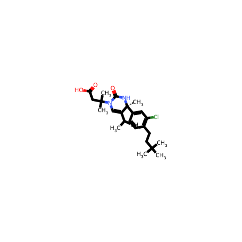 CC(C)C1=CN(C(C)(C)CC(=O)O)C(=O)N[C@@]1(C)c1ccc(CCC(C)(C)C)c(Cl)c1